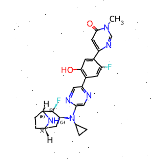 Cn1cnc(-c2cc(O)c(-c3cnc(N(C4CC4)[C@H]4C[C@@H]5CC[C@@H](N5)[C@H]4F)cn3)cc2F)cc1=O